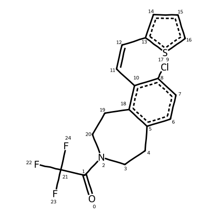 O=C(N1CCc2ccc(Cl)c(/C=C\c3cccs3)c2CC1)C(F)(F)F